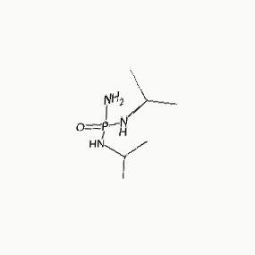 CC(C)NP(N)(=O)NC(C)C